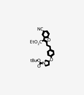 CCOC(=O)c1c(CCc2ccc(O[C@H]3CCN(C(=O)OC(C)(C)C)C3)cc2)oc2ccc(C#N)cc12